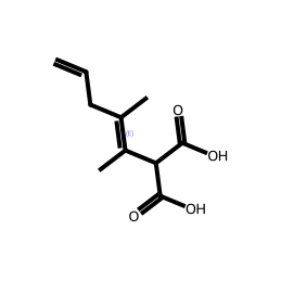 C=CC/C(C)=C(\C)C(C(=O)O)C(=O)O